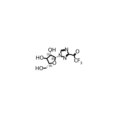 O=C(c1ncn([C@@H]2O[C@H](CO)C(O)[C@@H]2O)n1)C(F)(F)F